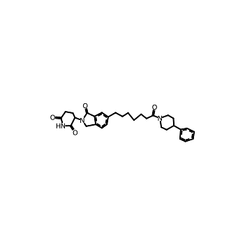 O=C1CCC(N2Cc3ccc(CCCCCCC(=O)N4CCC(c5ccccc5)CC4)cc3C2=O)C(=O)N1